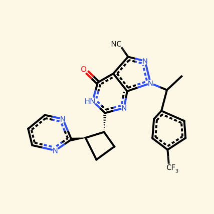 CC(c1ccc(C(F)(F)F)cc1)n1nc(C#N)c2c(=O)[nH]c([C@@H]3CC[C@H]3c3ncccn3)nc21